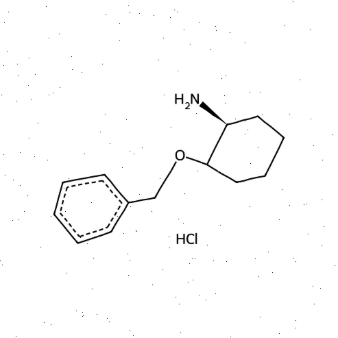 Cl.N[C@H]1CCCCC1OCc1ccccc1